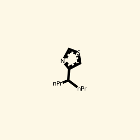 CCCC(CCC)c1cscn1